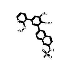 COc1c(-c2ccc3cc(NS(C)(=O)=O)ccc3c2)cc(-c2cccnc2OC(C)(C)C)cc1C(C)(C)C